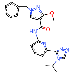 COc1nn(Cc2ccccc2)cc1C(=O)Nc1cccc(-c2nncn2C(C)C)n1